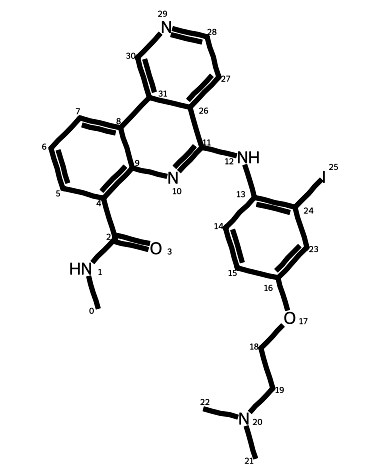 CNC(=O)c1cccc2c1nc(Nc1ccc(OCCN(C)C)cc1I)c1ccncc12